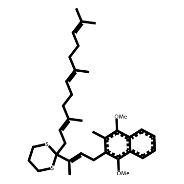 COc1c(C)c(C/C=C(\C)C2(C/C=C(\C)CC/C=C(\C)CCC=C(C)C)SCCCS2)c(OC)c2ccccc12